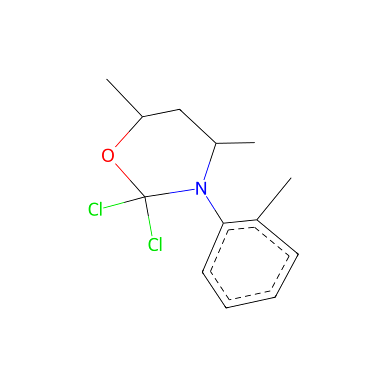 Cc1ccccc1N1C(C)CC(C)OC1(Cl)Cl